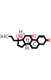 C[C@]12CC3O[C@]34[C@@H](CCC3CC(=O)C=C[C@@]34C)[C@@H]1CCC2(O)CCC=O